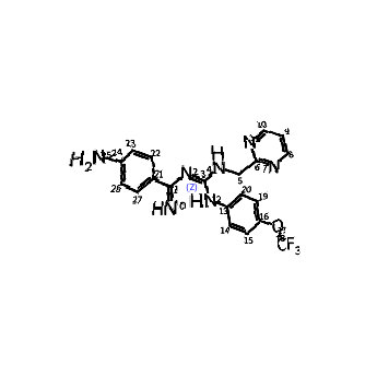 N=C(/N=C(/NCc1ncccn1)Nc1ccc(OC(F)(F)F)cc1)c1ccc(N)cc1